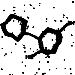 Sc1ccc(S)c(-c2ccccc2)c1